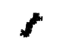 CC(C)n1ncc2ccc(-c3nnc(C4CCN(C(O)OC(C)(C)C)CC4)o3)cc21